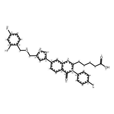 O=C(O)CCCCc1nc2cc(-c3cc(COCc4ccc(F)cc4F)on3)ccc2c(=O)n1-c1ccc(F)cc1